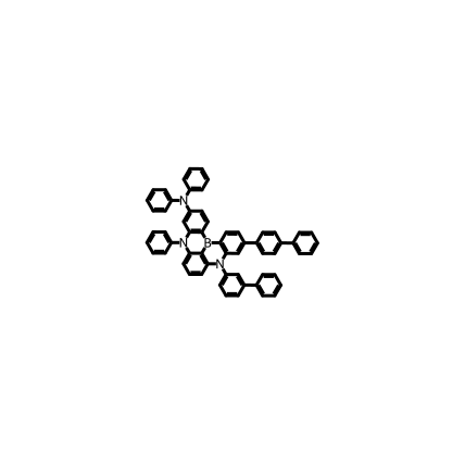 c1ccc(-c2ccc(-c3ccc4c(c3)N(c3cccc(-c5ccccc5)c3)c3cccc5c3B4c3ccc(N(c4ccccc4)c4ccccc4)cc3N5c3ccccc3)cc2)cc1